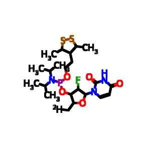 [2H]CC1OC(n2ccc(=O)[nH]c2=O)C(F)C1OP(OCCC1C(C)SSC1C)N(C(C)C)C(C)C